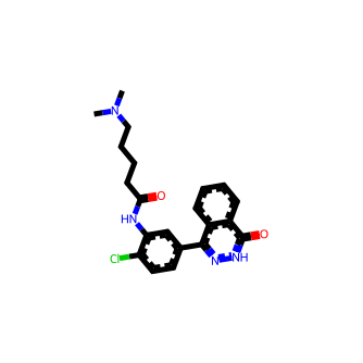 CN(C)CCCCC(=O)Nc1cc(-c2n[nH]c(=O)c3ccccc23)ccc1Cl